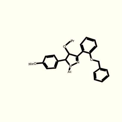 COc1ccc(C2C(OC(C)C)C(c3ccccc3OCc3ccccc3)=NN2C(C)=O)cc1